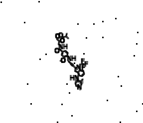 COCC(CNC(=O)c1ccc(NCC#Cc2cc3c(N[C@@H]4CCN(C)C[C@@H]4C)cccc3n2CC(F)(F)F)c(OC)c1)OC(=O)C(C)C